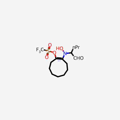 CCCC(C=O)N(O)/C1=C(\OS(=O)(=O)C(F)(F)F)CCCCCCC1